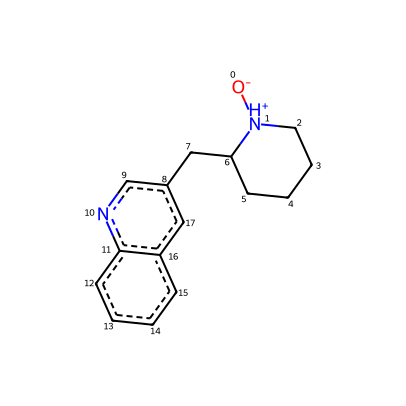 [O-][NH+]1CCCCC1Cc1cnc2ccccc2c1